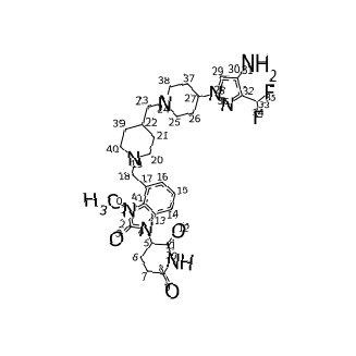 Cn1c(=O)n(C2CCC(=O)NC2=O)c2cccc(CN3CCC(CN4CCC(n5cc(N)c(C(F)F)n5)CC4)CC3)c21